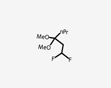 CCCC(CC(F)F)(OC)OC